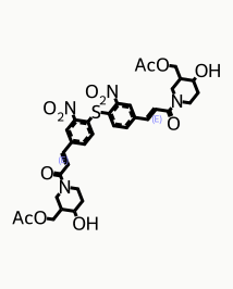 CC(=O)OCC1CN(C(=O)/C=C/c2ccc(Sc3ccc(/C=C/C(=O)N4CCC(O)C(COC(C)=O)C4)cc3[N+](=O)[O-])c([N+](=O)[O-])c2)CCC1O